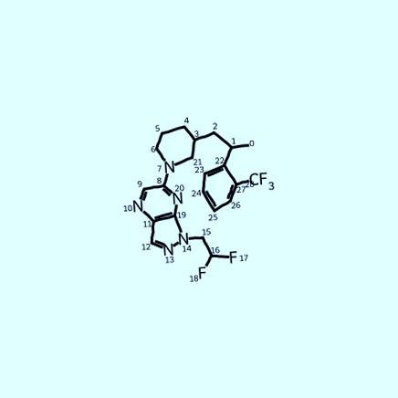 CC(CC1CCCN(c2cnc3cnn(CC(F)F)c3n2)C1)c1ccccc1C(F)(F)F